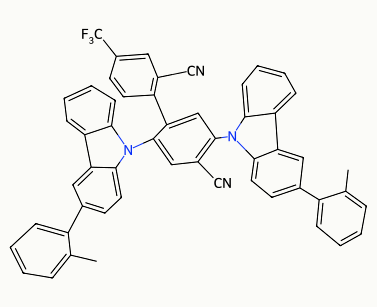 Cc1ccccc1-c1ccc2c(c1)c1ccccc1n2-c1cc(-c2ccc(C(F)(F)F)cc2C#N)c(-n2c3ccccc3c3cc(-c4ccccc4C)ccc32)cc1C#N